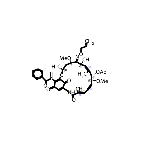 C=CCON=C1[C@@H](OC)C[C@H](C)CC2=C(NC(=O)c3ccccc3)C(=O)C=C(NC(=O)/C(C)=C/C=C\[C@H](OC)[C@@H](OC(C)=O)/C(C)=C/[C@@H]1C)C2=O